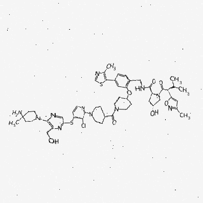 Cc1cc([C@@H](C(=O)N2C[C@H](O)C[C@H]2C(=O)NCc2ccc(-c3scnc3C)cc2OC2CCN(C(=O)C3CCN(c4nccc(Sc5cnc(N6CCC(C)(N)CC6)c(CO)n5)c4Cl)CC3)CC2)C(C)C)on1